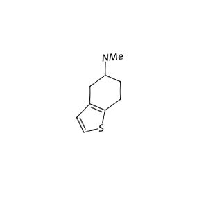 CNC1CCc2sccc2C1